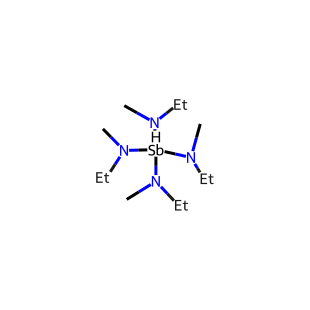 CC[N](C)[SbH]([N](C)CC)([N](C)CC)[N](C)CC